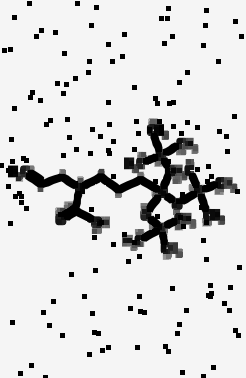 C=CCN(CCC[Si](O[Si](C)(C)C)(O[Si](C)(C)C)O[Si](C)(C)C)C(=O)O